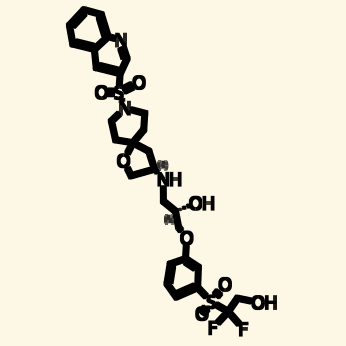 O=S(=O)(c1cnc2ccccc2c1)N1CCC2(CC1)C[C@@H](NC[C@H](O)COc1cccc(S(=O)(=O)C(F)(F)CO)c1)CO2